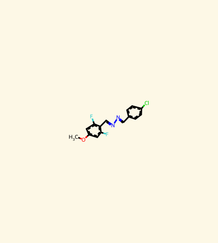 COc1cc(F)c(/C=N/N=C/c2ccc(Cl)cc2)c(F)c1